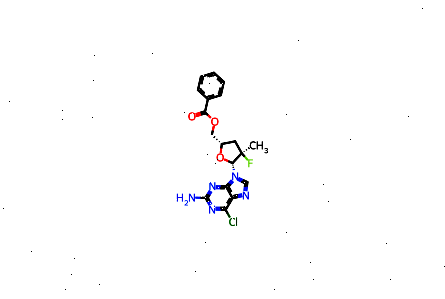 C[C@@]1(F)C[C@@H](COC(=O)c2ccccc2)O[C@H]1n1cnc2c(Cl)nc(N)nc21